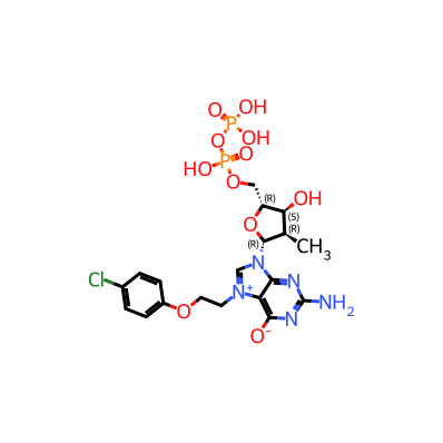 C[C@@H]1[C@H](O)[C@@H](COP(=O)(O)OP(=O)(O)O)O[C@H]1n1c[n+](CCOc2ccc(Cl)cc2)c2c([O-])nc(N)nc21